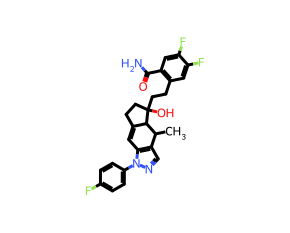 CC1c2cnn(-c3ccc(F)cc3)c2C=C2CCC(O)(CCc3cc(F)c(F)cc3C(N)=O)C21